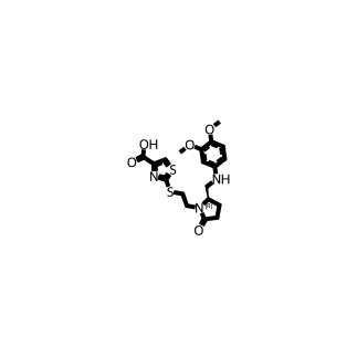 COc1ccc(NC[C@H]2CCC(=O)N2CCSc2nc(C(=O)O)cs2)cc1OC